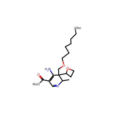 CCCCCCCCCCCCCCCCOCC1(C2CCO2)C(N)=C(C(=O)OC)C=NC1C